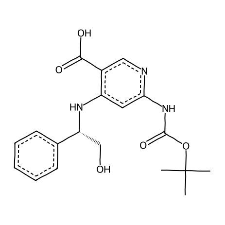 CC(C)(C)OC(=O)Nc1cc(N[C@H](CO)c2ccccc2)c(C(=O)O)cn1